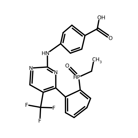 CC[PH](=O)c1ccccc1-c1nc(Nc2ccc(C(=O)O)cc2)ncc1C(F)(F)F